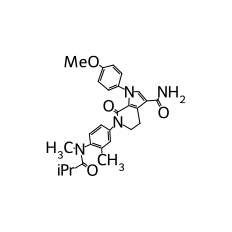 COc1ccc(-n2cc(C(N)=O)c3c2C(=O)N(c2ccc(N(C)C(=O)C(C)C)c(C)c2)CC3)cc1